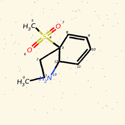 CCCC1(S(C)(=O)=O)C=CC=CC1N